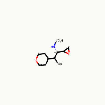 CC(C)(C)C(C1CCOCC1)[C@H](NC(=O)O)C1CO1